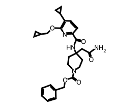 NC(=O)CC1(NC(=O)c2ccc(C3CC3)c(OCC3CC3)n2)CCN(C(=O)OCc2ccccc2)CC1